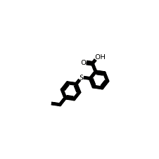 CCc1ccc(Sc2ccccc2C(=O)O)cc1